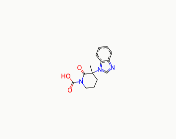 CC1(n2cnc3ccccc32)CCCN(C(=O)O)C1=O